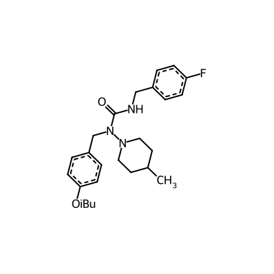 CC(C)COc1ccc(CN(C(=O)NCc2ccc(F)cc2)N2CCC(C)CC2)cc1